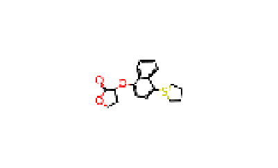 O=C1OCCC1Oc1ccc([S+]2CCCC2)c2ccccc12